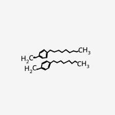 C=Cc1ccc(CCCCCCCC)cc1.C=Cc1ccc(CCCCCCCCC)cc1